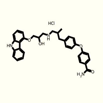 CC(CNCC(O)COc1cccc2[nH]c3ccccc3c12)Cc1ccc(Oc2ccc(C(N)=O)cc2)cc1.Cl